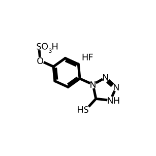 F.O=S(=O)(O)Oc1ccc(N2N=NNC2S)cc1